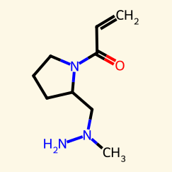 C=CC(=O)N1CCCC1CN(C)N